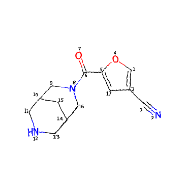 N#Cc1coc(C(=O)N2CC3CNCC(C3)C2)c1